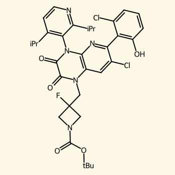 CC(C)c1ccnc(C(C)C)c1-n1c(=O)c(=O)n(CC2(F)CN(C(=O)OC(C)(C)C)C2)c2cc(Cl)c(-c3c(O)cccc3Cl)nc21